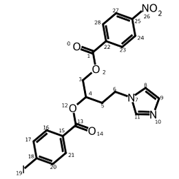 O=C(OCC(CCn1ccnc1)OC(=O)c1ccc(I)cc1)c1ccc([N+](=O)[O-])cc1